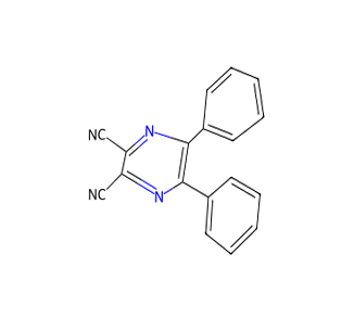 N#Cc1nc(-c2ccccc2)c(-c2ccccc2)nc1C#N